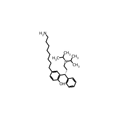 CC(C)N(CC[C@H](c1ccccc1)c1cc(CCCCCCCCN)ccc1O)C(C)C